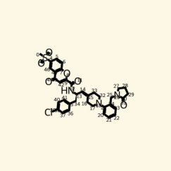 CS(=O)(=O)c1ccc2oc(C(=O)N[C@@H](C=C3CCN(c4ccccc4CN4CCCC4=O)CC3)Cc3ccc(Cl)cc3)cc(=O)c2c1